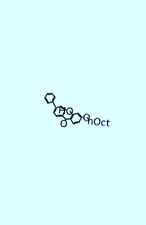 CCCCCCCCOc1ccc(C(=O)c2ccc(-c3ccccc3)cc2)c(O)c1